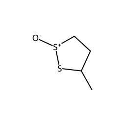 CC1CC[S+]([O-])S1